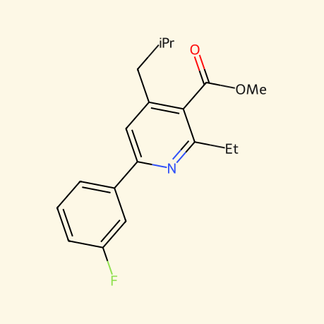 CCc1nc(-c2cccc(F)c2)cc(CC(C)C)c1C(=O)OC